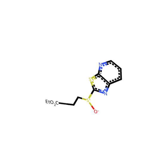 CCOC(=O)CC[S+]([O-])c1nc2cccnc2s1